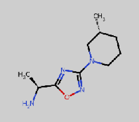 C[C@@H]1CCCN(c2noc([C@H](C)N)n2)C1